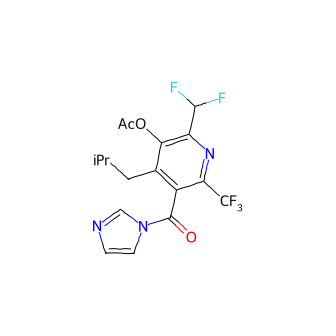 CC(=O)Oc1c(C(F)F)nc(C(F)(F)F)c(C(=O)n2ccnc2)c1CC(C)C